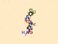 CC(=O)N(C[C@@H]1CN(Cc2ccc(Cl)c(Cl)c2)CCO1)Sc1ccc(C(N)=O)nc1